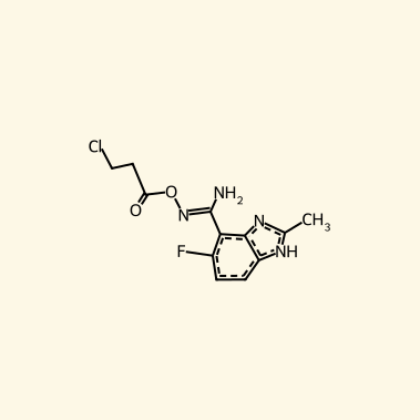 Cc1nc2c(/C(N)=N/OC(=O)CCCl)c(F)ccc2[nH]1